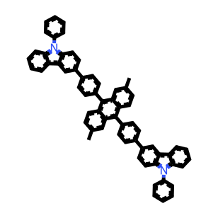 Cc1ccc2c(-c3ccc(-c4ccc5c(c4)c4ccccc4n5-c4ccccc4)cc3)c3cc(C)ccc3c(-c3ccc(-c4ccc5c(c4)c4ccccc4n5-c4ccccc4)cc3)c2c1